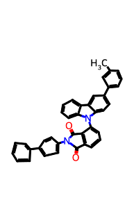 Cc1cccc(-c2ccc3c(c2)c2ccccc2n3-c2cccc3c2C(=O)N(c2ccc(-c4ccccc4)cc2)C3=O)c1